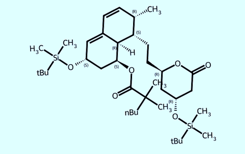 CCCCC(C)(C)C(=O)O[C@H]1C[C@H](O[Si](C)(C)C(C)(C)C)C=C2C=C[C@H](C)[C@H](CC[C@@H]3C[C@@H](O[Si](C)(C)C(C)(C)C)CC(=O)O3)[C@H]21